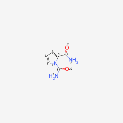 NC(=O)c1cccn1C(N)=O